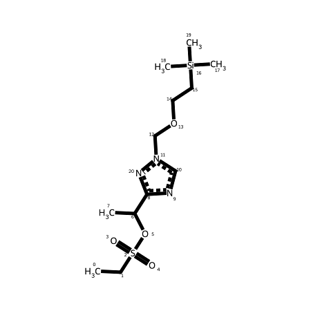 CCS(=O)(=O)OC(C)c1ncn(COCC[Si](C)(C)C)n1